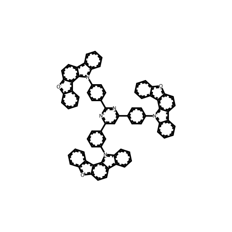 c1cc(-c2cc(-c3ccc(-n4c5ccccc5c5ccc6oc7ccccc7c6c54)cc3)nc(-c3ccc(-n4c5ccccc5c5ccc6oc7ccccc7c6c54)cc3)n2)cc(-n2c3ccccc3c3ccc4oc5ccccc5c4c32)c1